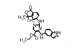 CCOC(=O)c1cnc(Nc2ccc3c(c2)C(C)(C)OC3=O)nc1Nc1ccc2[nH]ncc2c1